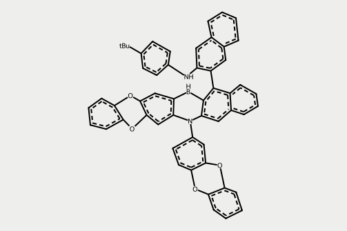 CC(C)(C)c1ccc(Nc2cc3ccccc3cc2-c2c3c(cc4ccccc24)N(c2ccc4c(c2)Oc2ccccc2O4)c2cc4c(cc2B3)Oc2ccccc2O4)cc1